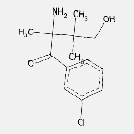 CC(C)(CO)C(C)(N)C(=O)c1cccc(Cl)c1